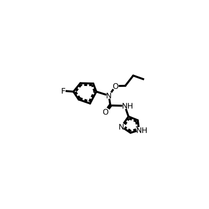 CCCON(C(=O)Nc1c[nH]cn1)c1ccc(F)cc1